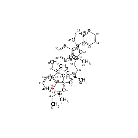 C=C[Si](C)(C)O[Si](O[Si](C)(C)C=C)(O[Si](C)(C)CC[Si](C)(C)O[Si](OC)(c1ccccc1)c1ccccc1)c1ccccc1